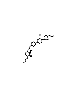 CCCCCC1CCC(CCCC2CCC(C3CCC(C4CCC(CCC)CC4)C(F)C3F)CC2)C(F)C1F